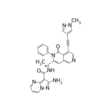 C[C@@H](NC(=O)c1c(N)nn2cccnc12)c1cc2cncc(C#Cc3cnn(C)c3)c2c(=O)n1-c1ccccc1